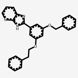 c1ccc(CCOc2cc(OCc3ccccc3)cc(-c3nc4cccnc4[nH]3)c2)cc1